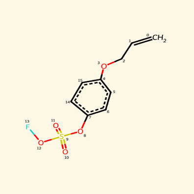 C=CCOc1ccc(OS(=O)(=O)OF)cc1